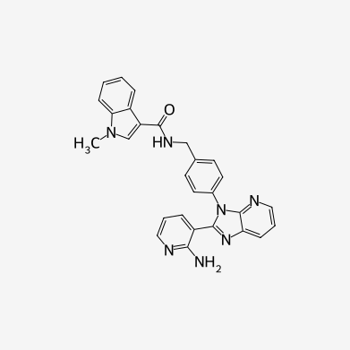 Cn1cc(C(=O)NCc2ccc(-n3c(-c4cccnc4N)nc4cccnc43)cc2)c2ccccc21